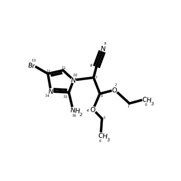 CCOC(OCC)C(C#N)n1cc(Br)nc1N